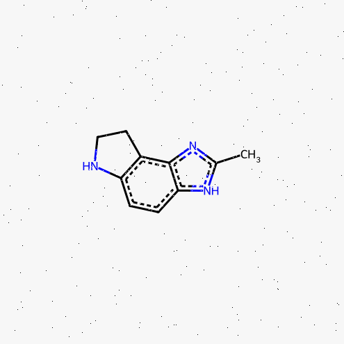 Cc1nc2c3c(ccc2[nH]1)NCC3